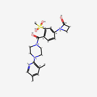 Cc1cnc(N2CCN(C(=O)c3ccc(N4CCC4=O)cc3S(C)(=O)=O)CC2)c(C)c1